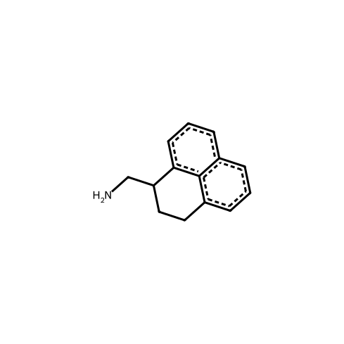 NCC1CCc2cccc3cccc1c23